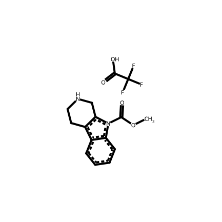 COC(=O)n1c2c(c3ccccc31)CCNC2.O=C(O)C(F)(F)F